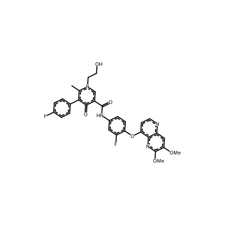 COc1cc2nccc(Oc3ccc(NC(=O)c4cn(CCO)c(C)c(-c5ccc(F)cc5)c4=O)cc3F)c2nc1OC